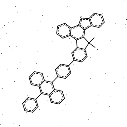 CC1(C)c2ccc(-c3ccc(-c4c5ccccc5c(-c5ccccc5)c5ccccc45)cc3)cc2-c2c1c1c3ccccc3sc1c1ccccc21